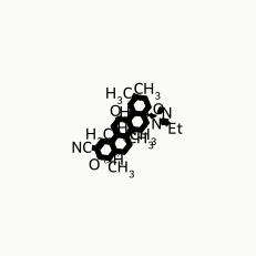 CCc1noc([C@]23CCC(C)(C)C[C@H]2[C@H]2C(=O)C=C4[C@@]5(C)C=C(C#N)C(=O)[C@@H](C)[C@@H]5CC[C@@]4(C)[C@]2(C)CC3)n1